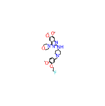 COc1cc2nc(NC3CCN(Cc4ccc(OC)c(OCCF)c4)CC3)nc(N3CCOCC3)c2cc1OC